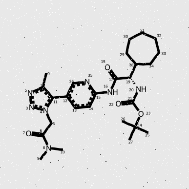 Cc1nnn(CC(=O)N(C)C)c1-c1ccc(NC(=O)[C@@H](NC(=O)OC(C)(C)C)C2CCCCCC2)nc1